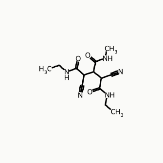 CCNC(=O)C(C#N)C(C(=O)NC)C(C#N)C(=O)NCC